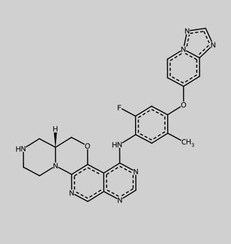 Cc1cc(Nc2ncnc3cnc4c(c23)OC[C@H]2CNCCN42)c(F)cc1Oc1ccn2ncnc2c1